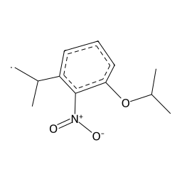 [CH2]C(C)c1cccc(OC(C)C)c1[N+](=O)[O-]